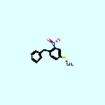 CSc1ccc(Cc2ccccc2)c([N+](=O)[O-])c1